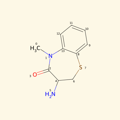 CN1C(=O)C(N)CSc2ccccc21